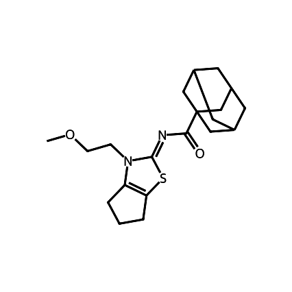 COCCn1c2c(s/c1=N\C(=O)C13CC4CC(CC(C4)C1)C3)CCC2